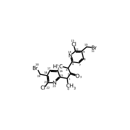 CC(C(=O)C(C)c1ccc(CBr)c(Cl)n1)c1ccc(CBr)c(Cl)n1